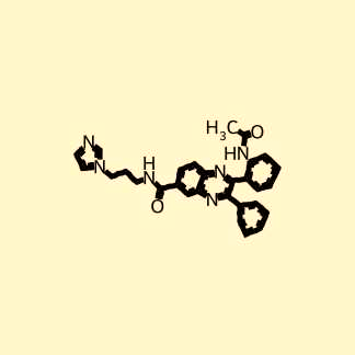 CC(=O)Nc1ccccc1-c1nc2ccc(C(=O)NCCCn3ccnc3)cc2nc1-c1ccccc1